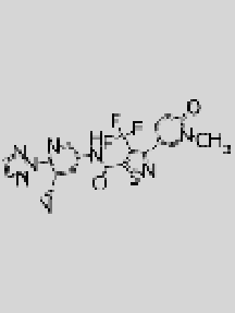 Cn1cc(-c2nsc(C(=O)Nc3cnc(-n4nccn4)c(C#N)c3)c2C(F)(F)F)ccc1=O